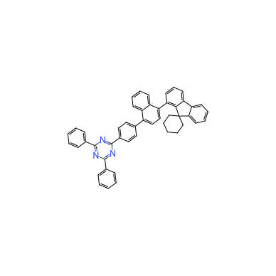 c1ccc(-c2nc(-c3ccccc3)nc(-c3ccc(-c4ccc(-c5cccc6c5C5(CCCCC5)c5ccccc5-6)c5ccccc45)cc3)n2)cc1